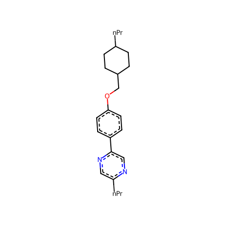 CCCc1cnc(-c2ccc(OCC3CCC(CCC)CC3)cc2)cn1